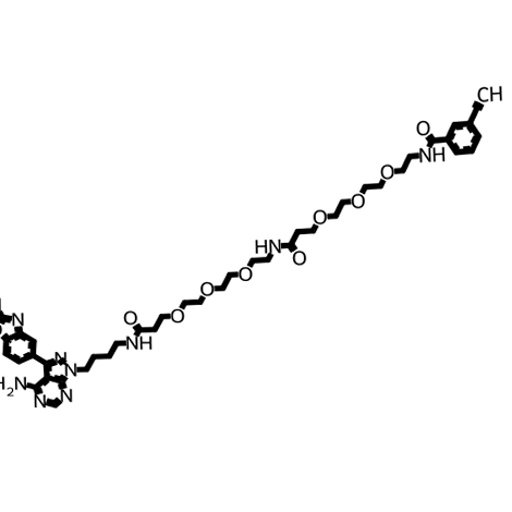 C#Cc1cccc(C(=O)NCCOCCOCCOCCC(=O)NCCOCCOCCOCCC(=O)NCCCCn2nc(-c3ccc4oc(N)nc4c3)c3c(N)ncnc32)c1